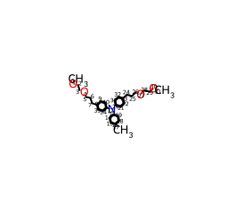 COCCOCCCc1ccc(N(c2ccc(C)cc2)c2ccc(CCCOCCOC)cc2)cc1